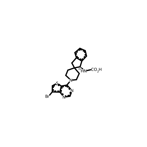 O=C(O)N[C@@H]1c2ccccc2CC12CCN(c1ncnc3c(Br)csc13)CC2